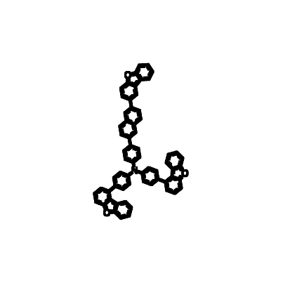 c1ccc2c(c1)oc1ccc(-c3ccc4cc(-c5ccc(N(c6ccc(-c7cccc8oc9ccccc9c78)cc6)c6ccc(-c7cccc8oc9ccccc9c78)cc6)cc5)ccc4c3)cc12